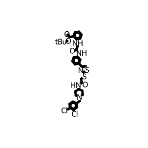 CC(C)(C)OC(=O)c1ccccc1NCC(=O)Nc1cccc(-c2csc(SCC(=O)NC3CCN(Cc4ccc(Cl)c(Cl)c4)CC3)n2)c1